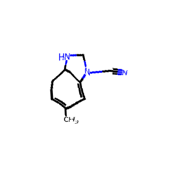 CC1=CCC2NCN(C#N)C2=C1